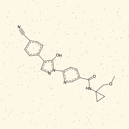 COCC1(NC(=O)c2ccc(-n3ncc(-c4ccc(C#N)cc4)c3O)nc2)CC1